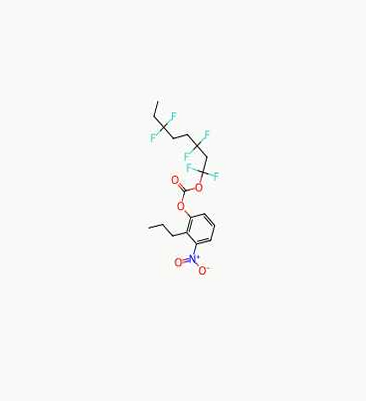 CCCc1c(OC(=O)OC(F)(F)CC(F)(F)CCC(F)(F)CC)cccc1[N+](=O)[O-]